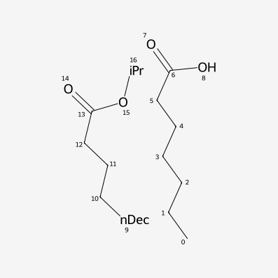 CCCCCCC(=O)O.CCCCCCCCCCCCCC(=O)OC(C)C